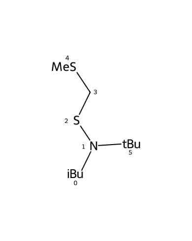 CCC(C)N(SCSC)C(C)(C)C